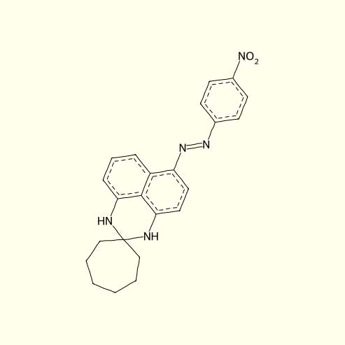 O=[N+]([O-])c1ccc(N=Nc2ccc3c4c(cccc24)NC2(CCCCCC2)N3)cc1